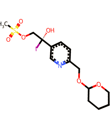 CS(=O)(=O)OC[C@](O)(I)c1ccc(COC2CCCCO2)nc1